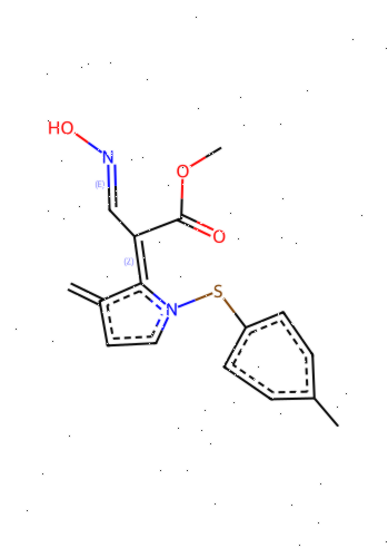 C=c1ccn(Sc2ccc(C)cc2)/c1=C(/C=N/O)C(=O)OC